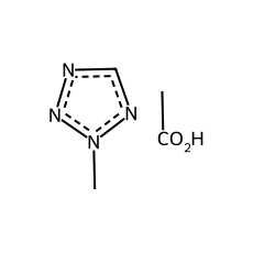 CC(=O)O.Cn1ncnn1